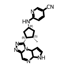 C[C@H]1C[C@@H](Nc2ccc(C#N)cn2)C[C@H]1c1nnc2n1C1C=CNC1N=C2